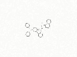 c1ccc(N(c2ccccc2)c2ccc3c(c2)c2ccccc2n3-c2cnc3c(ccc4ccccc43)n2)cc1